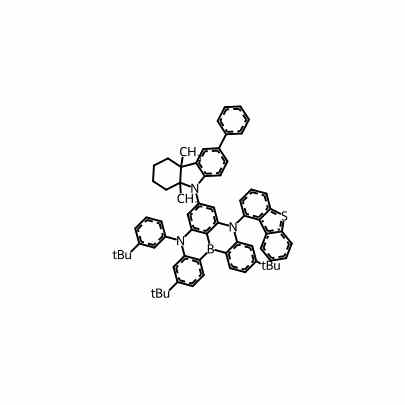 CC(C)(C)c1cccc(N2c3cc(C(C)(C)C)ccc3B3c4ccc(C(C)(C)C)cc4N(c4cccc5sc6ccccc6c45)c4cc(N5c6ccc(-c7ccccc7)cc6C6(C)CCCCC56C)cc2c43)c1